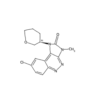 Cn1c(=O)n([C@@H]2CCCOC2)c2c3cc(Cl)ccc3nnc21